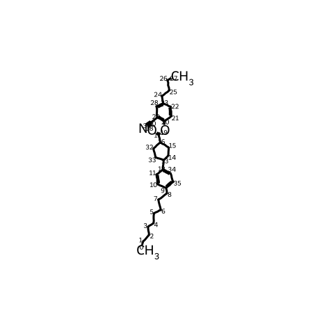 CCCCCCCCCc1ccc(C2CCC(C(=O)Oc3ccc(CCCC)cc3C#N)CC2)cc1